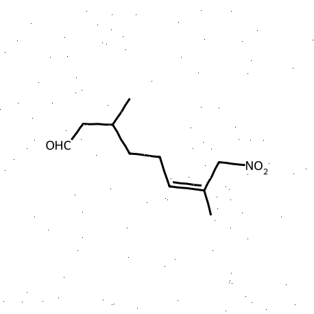 CC(=CCCC(C)CC=O)C[N+](=O)[O-]